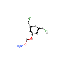 NOCOc1cc(CCl)cc(CCl)c1